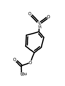 CC(C)(C)C(=O)Oc1ccc([SH](=O)=O)cc1